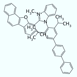 Cc1ccc2c(oc3c4ccccc4ccc23)c1-c1n(-c2c(C(C)C)cc(-c3ccc(-c4ccccc4)cc3)cc2C(C)C)c2ccccc2[n+]1C